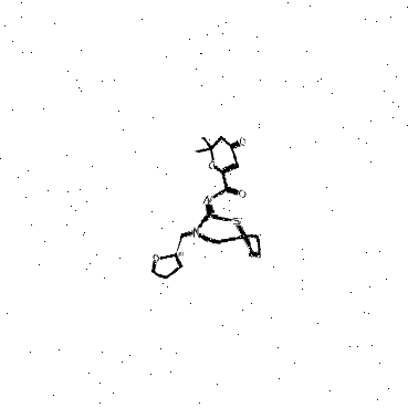 CC1(C)CC(=O)C=C(C(=O)N=C2SC3(CCC3)CN2C[C@H]2CCCO2)O1